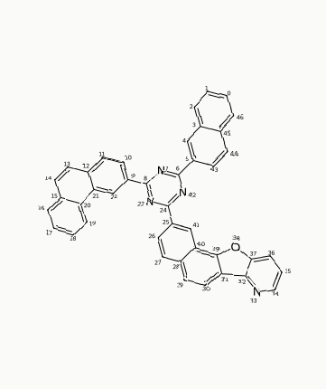 c1ccc2cc(-c3nc(-c4ccc5ccc6ccccc6c5c4)nc(-c4ccc5ccc6c7ncccc7oc6c5c4)n3)ccc2c1